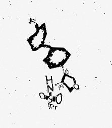 CC(C)S(=O)(=O)N[C@H]1COC[C@H]1c1ccc(-c2ccc(F)cc2)cc1